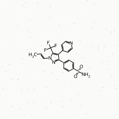 CC=Cn1nc(-c2ccc(S(N)(=O)=O)cc2)c(-c2ccncc2)c1C(F)(F)F